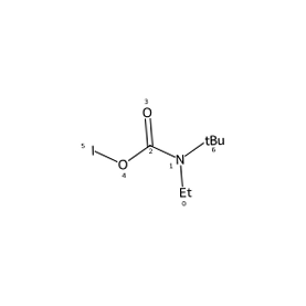 CCN(C(=O)OI)C(C)(C)C